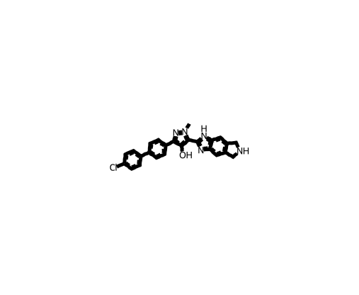 Cn1nc(-c2ccc(-c3ccc(Cl)cc3)cc2)c(O)c1-c1nc2cc3c(cc2[nH]1)CNC3